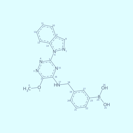 COc1nnc(-n2ncc3ccccc32)nc1NCc1cccc(B(O)O)c1